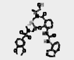 COc1ccc(S(=O)(=O)N(C)C[C@@H]2Oc3c(NC(=O)Nc4cccc5ccccc45)cccc3C(=O)N([C@@H](C)CO)C[C@H]2C)cc1OC